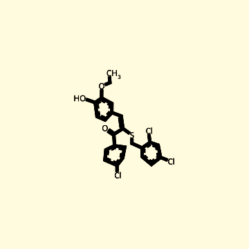 CCOc1cc(/C=C(/SCc2ccc(Cl)cc2Cl)C(=O)c2ccc(Cl)cc2)ccc1O